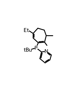 CCC1=CC(P(c2ccccn2)C(C)(C)C)=C(C)C(C)CC1